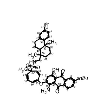 CCCCc1ccc2c(c1)C(=O)c1c(O)cc(OC3=CC=CC(C)(S(=O)(=O)NCC4(C)CCCC5(C)c6ccc(C(C)C)cc6CCC45)C=C3)c(N)c1C2=O